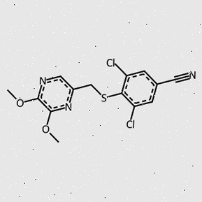 COc1ncc(CSc2c(Cl)cc(C#N)cc2Cl)nc1OC